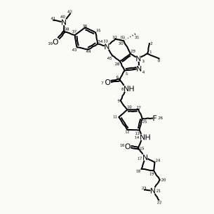 CC(C)n1nc(C(=O)NCc2ccc(NC(=O)N3CC(CN(C)C)C3)c(F)c2)c2c1[C@@H](C)CN(c1ccc(C(=O)N(C)C)cc1)C2